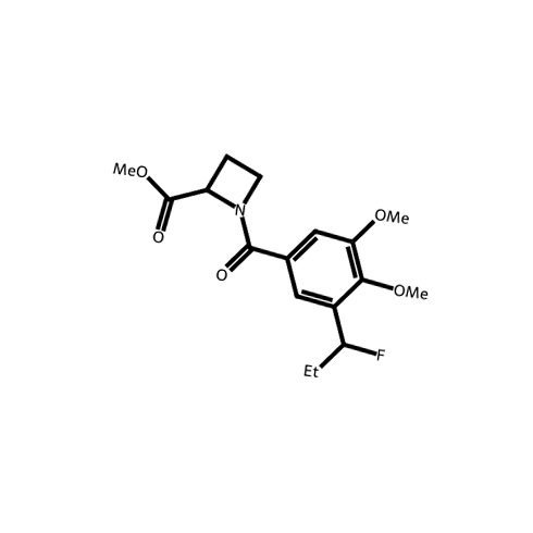 CCC(F)c1cc(C(=O)N2CCC2C(=O)OC)cc(OC)c1OC